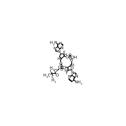 CC(C)(C)C(=O)OCOP1(=O)OC[C@H]2C[C@@H](n3cnc4c(N)ncnc43)C(F)[C@H]2OP(=O)(O)OC[C@H]2O[C@@H](n3cnc4c(N)ccnc43)C(F)[C@H]2O1